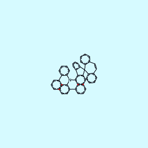 C1=Cc2ccccc2C2(c3ccccc31)c1ccccc1-c1c(N(c3ccccc3-c3ccccc3)c3ccccc3-c3ccccc3)cccc12